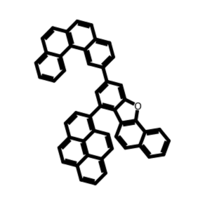 c1ccc2c(c1)ccc1c2oc2cc(-c3ccc4ccc5ccc6ccccc6c5c4c3)cc(-c3ccc4ccc5cccc6ccc3c4c56)c21